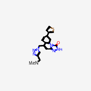 CNCc1cn(Cc2cc3n[nH]c(=O)n3c3cc(-c4ccsc4)ccc23)nn1